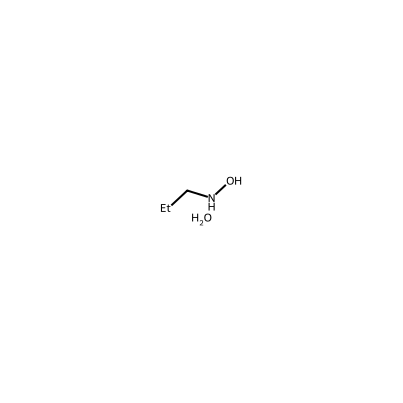 CCCNO.O